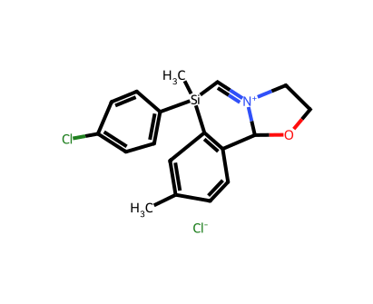 Cc1ccc2c(c1)[Si](C)(c1ccc(Cl)cc1)C=[N+]1CCOC21.[Cl-]